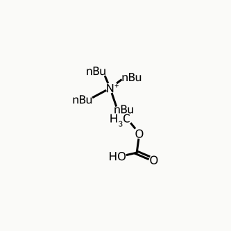 CCCC[N+](CCCC)(CCCC)CCCC.COC(=O)O